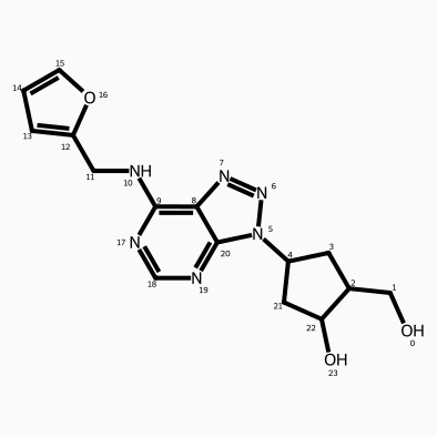 OCC1CC(n2nnc3c(NCc4ccco4)ncnc32)CC1O